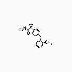 [CH2]c1ccccc1Cc1ccc(C2(C(N)=O)CC2)cc1